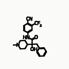 CN1CCC(C(O)(Cc2ccccc2)C(=O)Nc2ccc(C#N)c(C(F)(F)F)c2)CC1